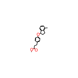 COC(=O)CCc1ccc(OC2CCc3c(C)cccc32)cc1